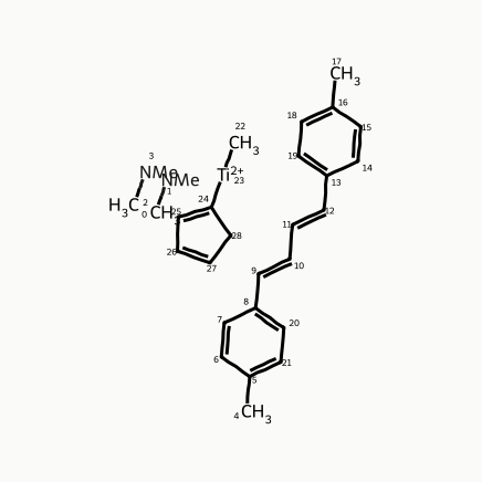 C[N-]C.C[N-]C.Cc1ccc(C=CC=Cc2ccc(C)cc2)cc1.[CH3][Ti+2][C]1=CC=CC1